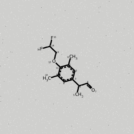 Cc1cc(C(C)C=O)cc(C)c1OCC(F)F